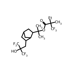 CCC(C)(C(=O)OC(C)(C)C1CC2CC(CC(O)(C(F)(F)F)C(F)(F)F)C1C2)C(F)(F)F